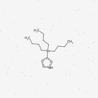 CCC[CH2][Sn]([CH2]CCC)([CH2]CCC)[c]1cc[nH]c1